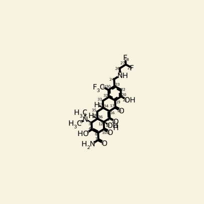 CN(C)[C@@H]1C(O)=C(C(N)=O)C(=O)[C@@]2(O)C(O)=C3C(=O)c4c(O)cc(CNCC(F)F)c(C(F)(F)F)c4C[C@H]3C[C@@H]12